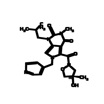 CC(C)Cn1c(=O)n(C)c(=O)c2c(C(=O)N3C[C@](C)(O)CO3)n(Cc3ccncc3)cc21